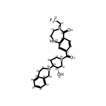 O=C(c1ccc2c(c1)NCCN(CC(F)(F)F)C2=O)N1CCC(N2CCc3ccccc3C2)[C@@H](O)C1